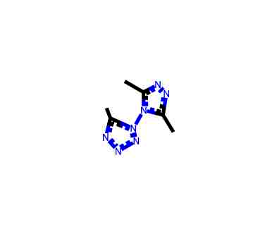 Cc1nnnn1-n1c(C)nnc1C